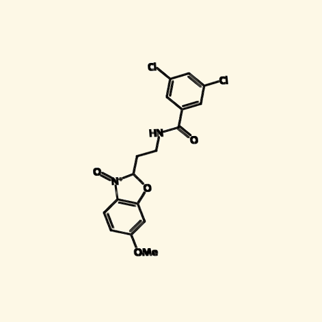 COc1ccc2c(c1)OC(CCNC(=O)c1cc(Cl)cc(Cl)c1)[N+]2=O